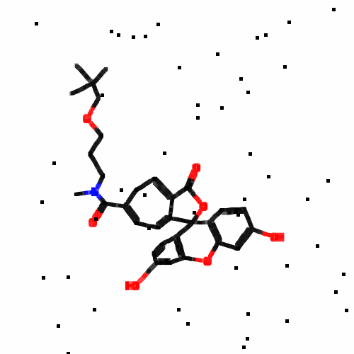 CN(CCCOCC(C)(C)C)C(=O)C1=CC=C2C(=CC1)C(=O)OC21c2ccc(O)cc2Oc2cc(O)ccc21